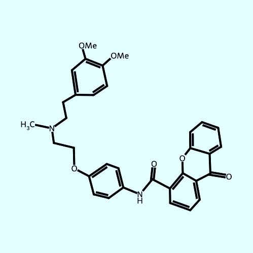 COc1ccc(CCN(C)CCOc2ccc(NC(=O)c3cccc4c(=O)c5ccccc5oc34)cc2)cc1OC